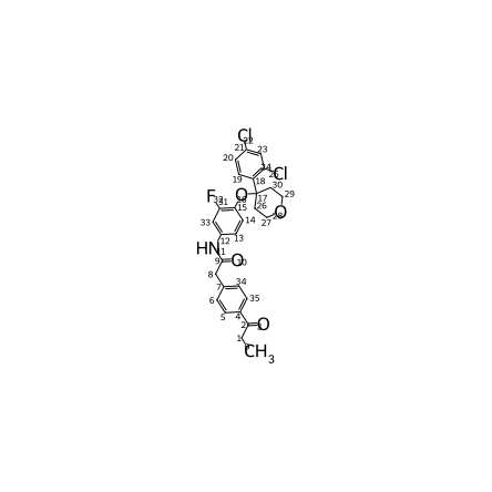 CCC(=O)c1ccc(CC(=O)Nc2ccc(OC3(c4ccc(Cl)cc4Cl)CCOCC3)c(F)c2)cc1